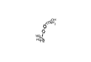 CC(O)c1nccn1C(C#Cc1ccc(-c2ccc(COCC(N)CO)cc2)cc1)CO